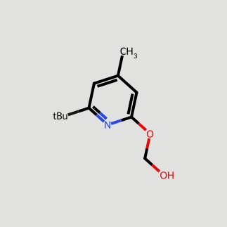 Cc1cc(OCO)nc(C(C)(C)C)c1